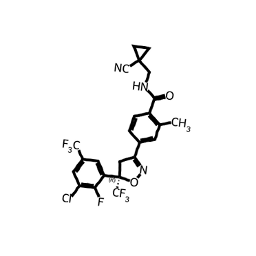 Cc1cc(C2=NO[C@](c3cc(C(F)(F)F)cc(Cl)c3F)(C(F)(F)F)C2)ccc1C(=O)NCC1(C#N)CC1